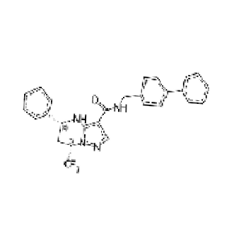 O=C(NCc1ccc(-c2ccccc2)cc1)c1cnn2c1N[C@@H](c1ccccc1)C[C@H]2C(F)(F)F